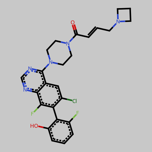 O=C(C=CCN1CCC1)N1CCN(c2ncnc3c(F)c(-c4c(O)cccc4F)c(Cl)cc23)CC1